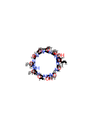 C=C(C)[C@@H]1NC(O)[C@H](CCC)N(C)C(=O)CN(C)C(=O)[C@H](CC)NC(=O)[C@H]([C@H](O)[C@H](C)C/C=C/C)N(C)C(=O)[C@H](C(C)C)N(C)C(=O)[C@@H](CC(C)C)N(C)C(=O)[C@H](CC(C)C)N(C)C(=O)[C@@H](C)NC(=O)[C@H](CC(C)C)NC(=O)[C@H](CC(C)C)N(C)C1=O